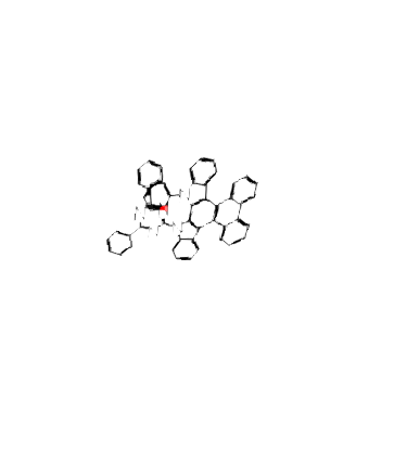 c1ccc(-c2nc(-c3ccccc3)nc(-n3c4ccccc4c4c5c6ccccc6c6ccccc6c5c5c6ccccc6n(-c6ccccc6)c5c43)n2)cc1